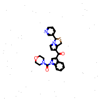 O=C(c1ccn2c1CSC2c1cccnc1)c1cn(C(=O)N2CCOCC2)c2ccccc12